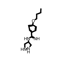 CCCCOc1ccc(C(=N)NC2CNNC2)cc1